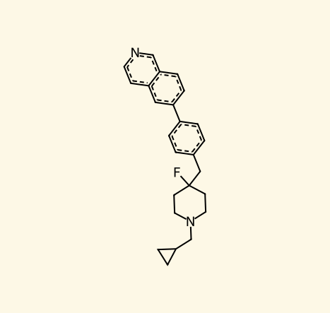 FC1(Cc2ccc(-c3ccc4cnccc4c3)cc2)CCN(CC2CC2)CC1